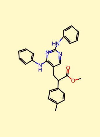 COC(=O)C(Cc1cnc(Nc2ccccc2)nc1Nc1ccccc1)c1ccc(C)cc1